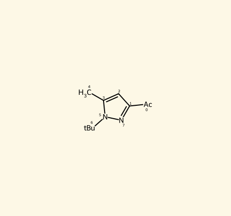 CC(=O)c1cc(C)n(C(C)(C)C)n1